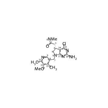 CNC(=O)C[C@H]1CN(Cc2cnc(C)c(OC)c2C)c2nc(N)nc(Cl)c21